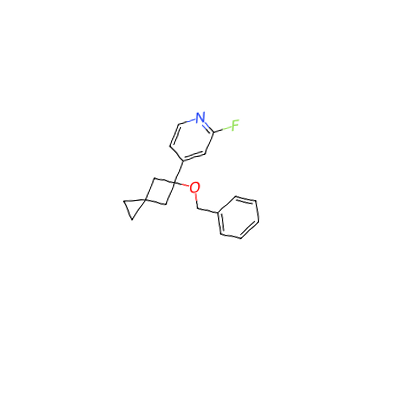 Fc1cc(C2(OCc3ccccc3)CC3(CC3)C2)ccn1